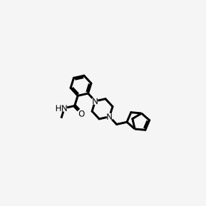 CNC(=O)c1ccccc1N1CCN(CC2CC3C=CC2C3)CC1